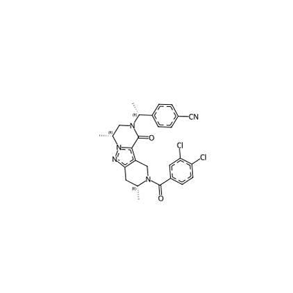 C[C@@H]1Cc2nn3c(c2CN1C(=O)c1ccc(Cl)c(Cl)c1)C(=O)N([C@H](C)c1ccc(C#N)cc1)C[C@H]3C